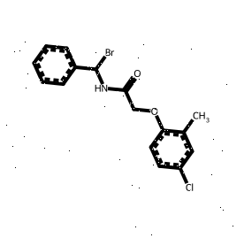 Cc1cc(Cl)ccc1OCC(=O)NC(Br)c1ccccc1